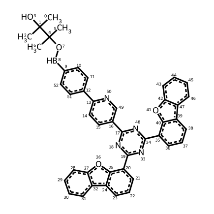 CC(C)(O)C(C)(C)OBc1ccc(-c2ccc(-c3nc(-c4cccc5c4oc4ccccc45)nc(-c4cccc5c4oc4ccccc45)n3)cn2)cc1